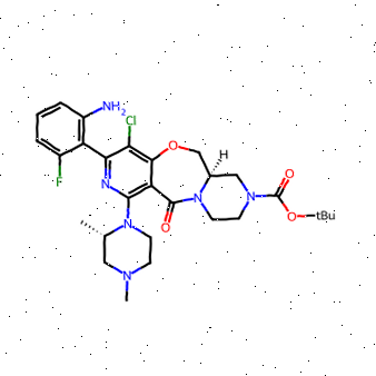 C[C@H]1CN(C)CCN1c1nc(-c2c(N)cccc2F)c(Cl)c2c1C(=O)N1CCN(C(=O)OC(C)(C)C)C[C@@H]1CO2